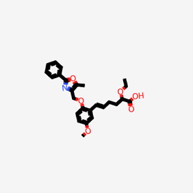 CCOC(CC/C=C/c1cc(OC)ccc1OCc1nc(-c2ccccc2)oc1C)C(=O)O